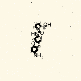 Nc1ccc(Oc2ccnc(NC(=O)N3CCC[C@@H]3CO)c2)c(F)c1